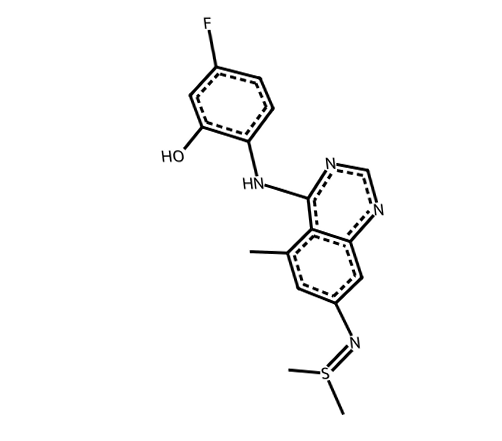 Cc1cc(N=S(C)C)cc2ncnc(Nc3ccc(F)cc3O)c12